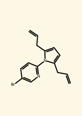 C=CCc1ccc(CC=C)n1-c1ccc(Br)cn1